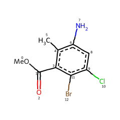 COC(=O)c1c(C)c(N)cc(Cl)c1Br